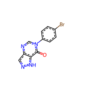 O=c1c2[nH]ncc2ncn1-c1ccc(Br)cc1